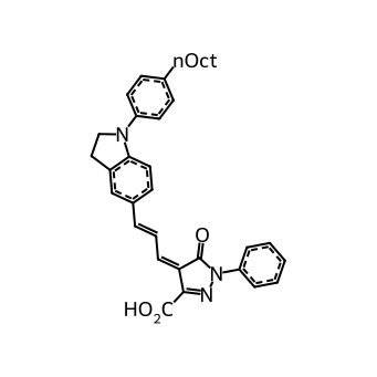 CCCCCCCCc1ccc(N2CCc3cc(/C=C/C=C4\C(=O)N(c5ccccc5)N=C4C(=O)O)ccc32)cc1